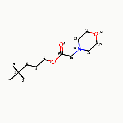 CC(C)(C)CCCOC(=O)CN1CCOCC1